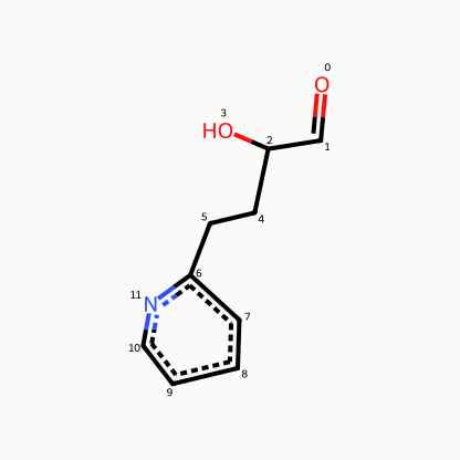 O=CC(O)CCc1ccccn1